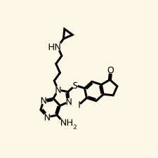 Nc1ncnc2c1nc(Sc1cc3c(cc1I)CCC3=O)n2CCCCNC1CC1